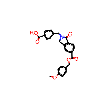 COc1ccc(COC(=O)c2ccc3c(c2)CN(Cc2ccc(C(=O)O)cc2)C3=O)cc1